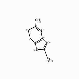 CC1=Nc2nc(C)sc2CC1